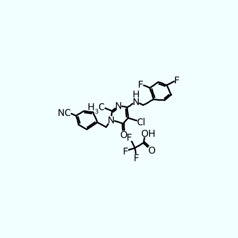 Cc1nc(NCc2ccc(F)cc2F)c(Cl)c(=O)n1Cc1ccc(C#N)cc1.O=C(O)C(F)(F)F